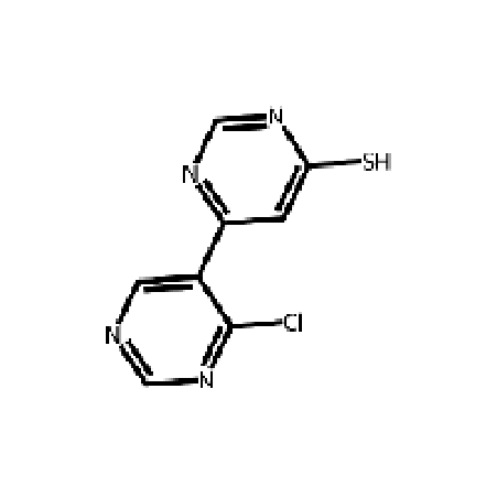 Sc1cc(-c2cncnc2Cl)ncn1